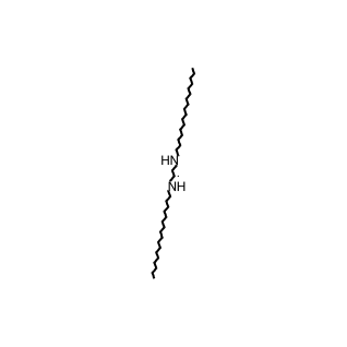 CCCCCCCCCCCCCCCCCCNC[CH]CCNCCCCCCCCCCCCCCCCCC